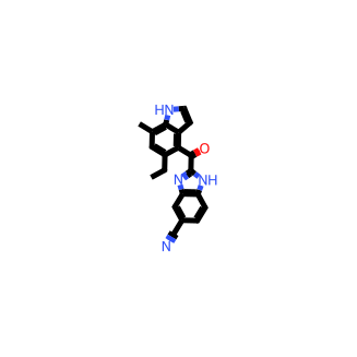 CCc1cc(C)c2[nH]ccc2c1C(=O)c1nc2cc(C#N)ccc2[nH]1